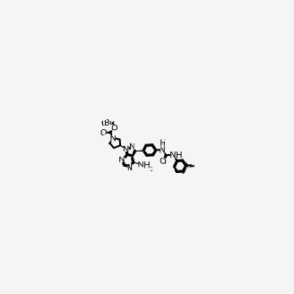 Cc1cccc(NC(=O)Nc2ccc(-c3nn([C@H]4CCN(C(=O)OC(C)(C)C)C4)c4ncnc(N)c34)cc2)c1